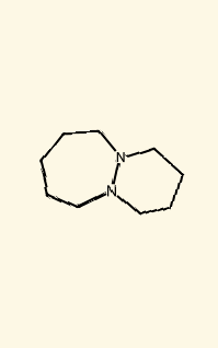 C1CCN2CCCCN2CC1